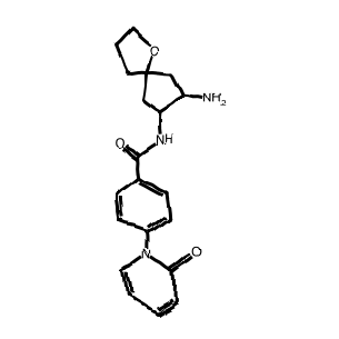 NC1CC2(CCCO2)CC1NC(=O)c1ccc(-n2ccccc2=O)cc1